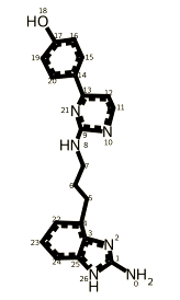 Nc1nc2c(CCCNc3nccc(-c4ccc(O)cc4)n3)cccc2[nH]1